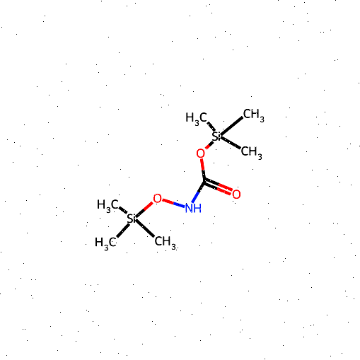 C[Si](C)(C)ONC(=O)O[Si](C)(C)C